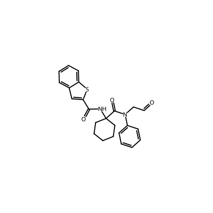 O=CCN(C(=O)C1(NC(=O)c2cc3ccccc3s2)CCCCC1)c1ccccc1